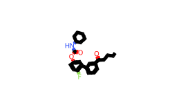 CCCCC(=O)c1cccc(-c2cc(OC(=O)NC3CCCCC3)ccc2F)c1